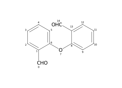 O=Cc1ccccc1Oc1ccccc1C=O